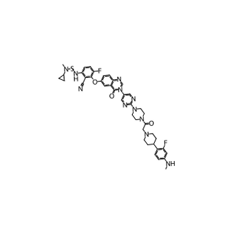 CNc1ccc(C2CCN(CC(=O)N3CCN(c4ncc(-n5cnc6ccc(Oc7c(F)ccc(NSN(C)C8CC8)c7C#N)cc6c5=O)cn4)CC3)CC2)c(F)c1